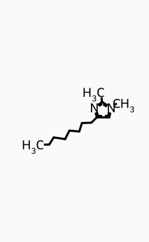 CCCCCCCCc1cn(C)c(C)n1